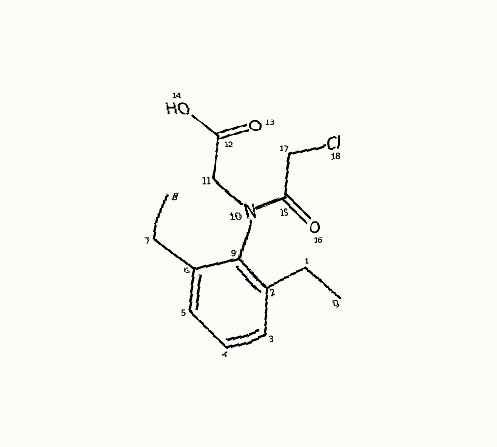 CCc1cccc(CC)c1N(CC(=O)O)C(=O)CCl